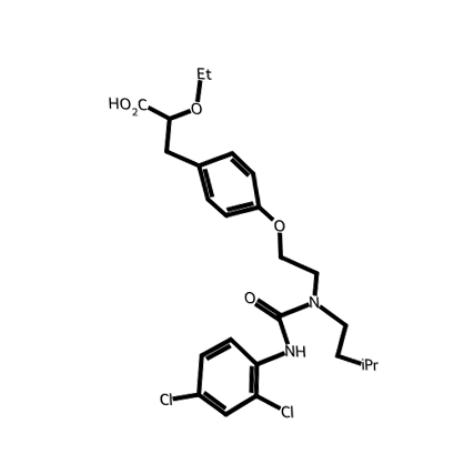 CCOC(Cc1ccc(OCCN(CCC(C)C)C(=O)Nc2ccc(Cl)cc2Cl)cc1)C(=O)O